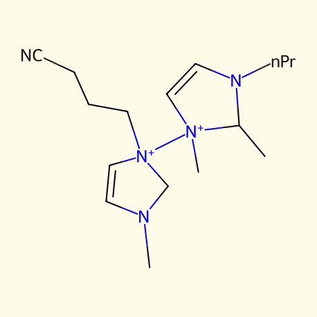 CCCN1C=C[N+](C)([N+]2(CCCC#N)C=CN(C)C2)C1C